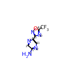 Nc1cnc(-c2noc(C(F)(F)F)n2)cn1